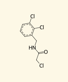 O=C(CCl)NCc1cccc(Cl)c1Cl